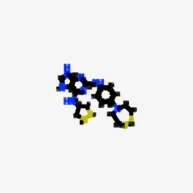 c1nc2c(NC3CSSC3)nc(Nc3ccc(N4CCSSCC4)cc3)nc2[nH]1